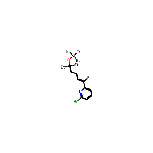 CCC(=CCCC(CC)(CC)O[Si](CC)(CC)CC)c1cccc(Br)n1